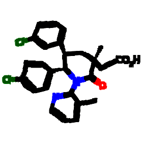 Cc1cccnc1N1C(=O)[C@](C)(CC(=O)O)C[C@H](c2cccc(Cl)c2)[C@H]1c1ccc(Cl)cc1